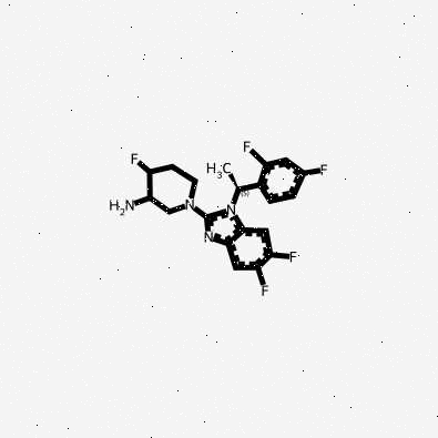 C[C@@H](c1ccc(F)cc1F)n1c(N2CCC(F)C(N)C2)nc2cc(F)c(F)cc21